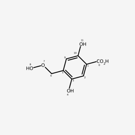 O=C(O)c1cc(O)c(COO)cc1O